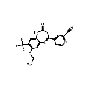 CCOc1cc2c(cc1C(F)(F)F)NC(=O)CC(c1ccnc(C#N)c1)=N2